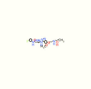 CCC(O)CNCCCOc1cc2ncnc(Nc3cc(CC(=O)Nc4cccc(F)c4)[nH]n3)c2cc1OC